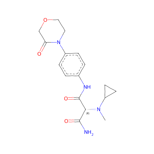 CN(C1CC1)[C@H](C(N)=O)C(=O)Nc1ccc(N2CCOCC2=O)cc1